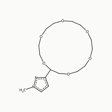 Cn1ccc(C2COCCOCCOCCOCCOCCO2)n1